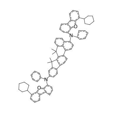 CC1(C)c2cc(N(c3ccccc3)c3cccc4c3oc3c(C5CCCCC5)cccc34)ccc2-c2ccc3c(c21)C(C)(C)c1cccc2c(N(c4ccccc4)c4cccc5c4oc4c(C6CCCCC6)cccc45)ccc-3c12